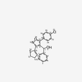 OC(c1cccnc1)c1c(C2=CCCS2)noc1-c1ccc(Cl)cc1